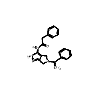 CC(c1ccccc1)N1Cc2n[nH]c(NC(=O)Cc3ccccc3)c2C1